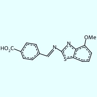 COc1cccc2sc(/N=C/c3ccc(C(=O)O)cc3)nc12